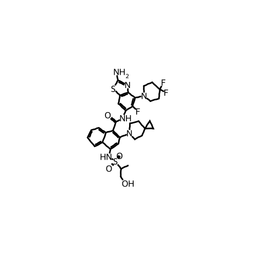 CC(CO)S(=O)(=O)Nc1cc(N2CCC3(CC2)CC3)c(C(=O)Nc2cc3sc(N)nc3c(N3CCC(F)(F)CC3)c2F)c2ccccc12